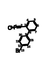 O=P#Cc1ccccc1-c1ccc(Br)cc1